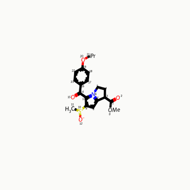 COC(=O)C1CCn2c1cc([S+](C)[O-])c2C(=O)c1ccc(OC(C)C)cc1